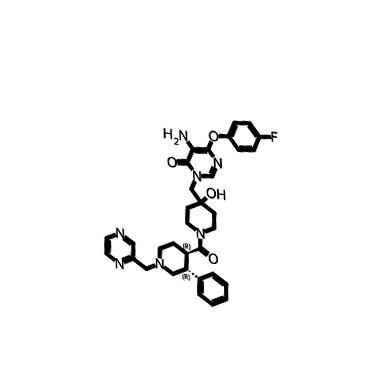 Nc1c(Oc2ccc(F)cc2)ncn(CC2(O)CCN(C(=O)[C@@H]3CCN(Cc4cnccn4)C[C@H]3c3ccccc3)CC2)c1=O